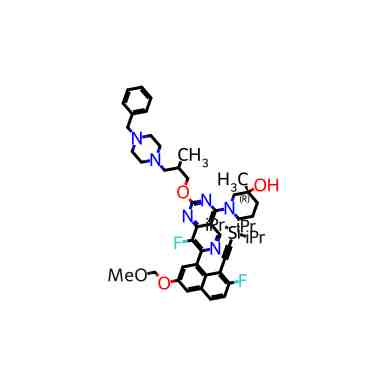 COCOc1cc(-c2ncc3c(N4CCC[C@@](C)(O)C4)nc(OCC(C)CN4CCN(Cc5ccccc5)CC4)nc3c2F)c2c(C#C[Si](C(C)C)(C(C)C)C(C)C)c(F)ccc2c1